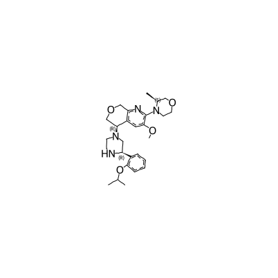 COc1cc2c(nc1N1CCOC[C@@H]1C)COC[C@@H]2N1CCN[C@H](c2ccccc2OC(C)C)C1